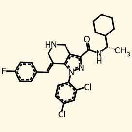 C[C@H](NC(=O)c1nn(-c2ccc(Cl)cc2Cl)c2c1CNC/C2=C\c1ccc(F)cc1)C1CCCCC1